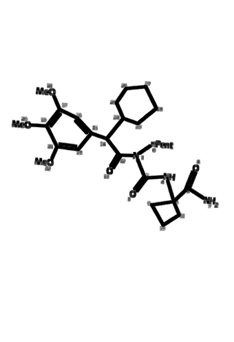 CCCCCN(C(=O)NC1(C(N)=O)CCC1)C(=O)C(c1cc(OC)c(OC)c(OC)c1)C1CCCCC1